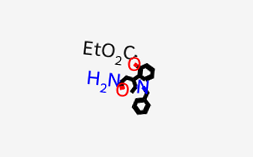 CCOC(=O)COc1cccc2c1C(CC(N)=O)C(C)N2Cc1ccccc1